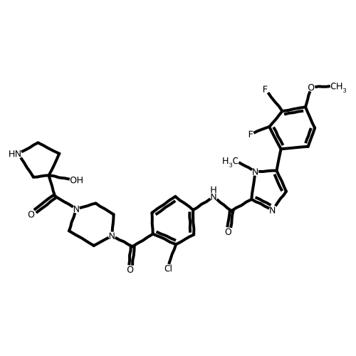 COc1ccc(-c2cnc(C(=O)Nc3ccc(C(=O)N4CCN(C(=O)C5(O)CCNC5)CC4)c(Cl)c3)n2C)c(F)c1F